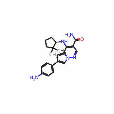 CC1(C)CCC[C@H]1Nc1c(C(N)=O)cnn2cc(-c3ccc(N)cc3)cc12